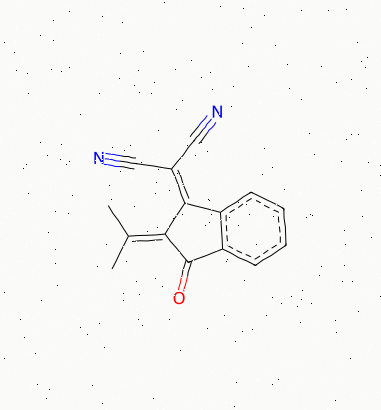 CC(C)=C1C(=O)c2ccccc2C1=C(C#N)C#N